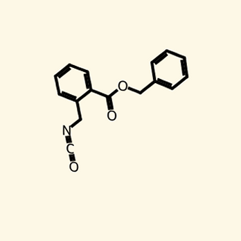 O=C=NCc1ccccc1C(=O)OCc1ccccc1